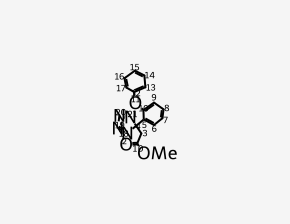 COC(=O)CC1(c2ccccc2Oc2ccccc2)N=NN=N1